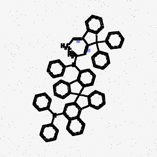 C=C(/C=C1\C(=C/C)c2ccccc2C1(c1ccccc1)c1ccccc1)N(c1ccccc1)c1cccc2c1-c1ccccc1C21c2ccccc2-c2c1cc(N(c1ccccc1)c1ccccc1)c1ccccc21